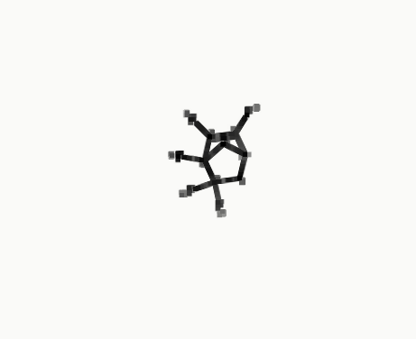 FC1=C(F)C2(F)C[C]1CC2(F)F